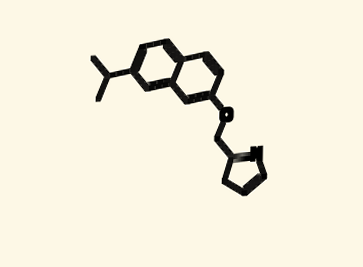 CC(C)c1ccc2ccc(OCC3=NC=CC3)cc2c1